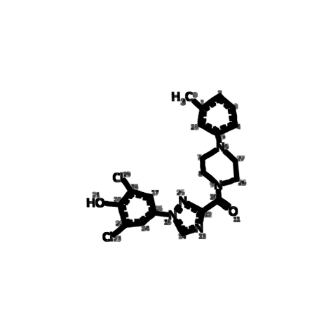 Cc1cccc(N2CCN(C(=O)c3ncn(-c4cc(Cl)c(O)c(Cl)c4)n3)CC2)c1